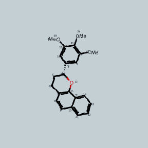 COc1cc([C@H]2CCc3ccc4ccccc4c3O2)cc(OC)c1OC